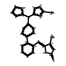 CCCCc1nnc(C(c2ccc(-c3ccccc3/C=C3\OC(=O)C=C3O)cc2)c2ccco2)[nH]1